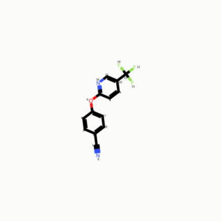 N#Cc1ccc(Oc2ccc(C(F)(F)F)cn2)cc1